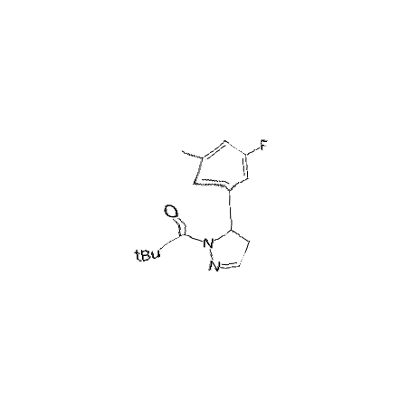 Cc1cc(F)cc(C2CC=NN2C(=O)C(C)(C)C)c1